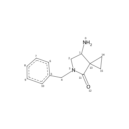 NC1CN(Cc2ccccc2)C(=O)C12CC2